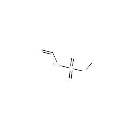 COS(=O)(=O)NC=O